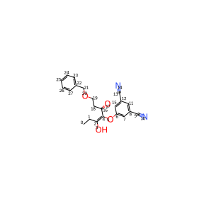 CCC(O)=C(Oc1cc(C#N)cc(C#N)c1)C(=O)CCOCc1ccccc1